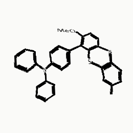 COc1ccc2c(c1-c1ccc(N(c3ccccc3)c3ccccc3)cc1)Sc1cc(C)ccc1S2